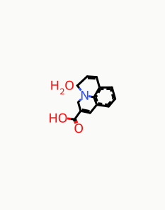 O.O=C(O)C1=Cc2cccc3c2N(CC=C3)C1